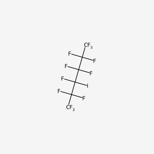 FC(F)(F)C(F)(F)C(F)(F)C(F)(I)C(F)(F)C(F)(F)F